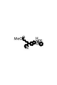 COC(=O)CCCC=C(c1cccnc1)c1ccc2c(c1)CC(NS(=O)(=O)C1=CC=CCC1=S)C2